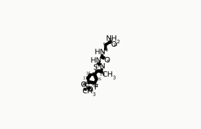 Cc1nc(NC(=O)NCCC(N)=O)sc1-c1ccc(S(C)(=O)=O)c(F)c1